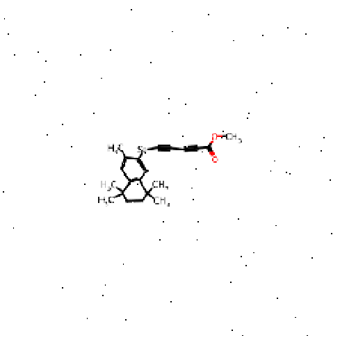 COC(=O)C#CC#C[Se]c1cc2c(cc1C)C(C)(C)CCC2(C)C